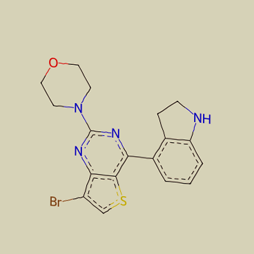 Brc1csc2c(-c3cccc4c3CCN4)nc(N3CCOCC3)nc12